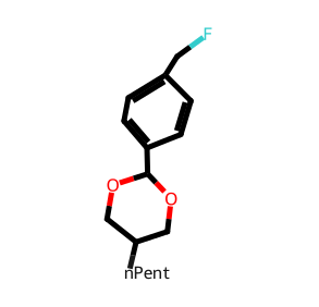 CCCCCC1COC(c2ccc(CF)cc2)OC1